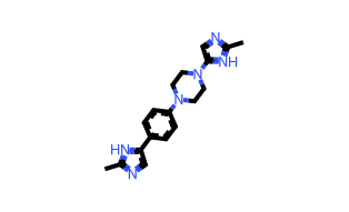 Cc1ncc(-c2ccc(N3CCN(c4cnc(C)[nH]4)CC3)cc2)[nH]1